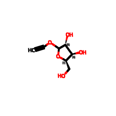 C#COC1O[C@H](CO)[C@H](O)[C@H]1O